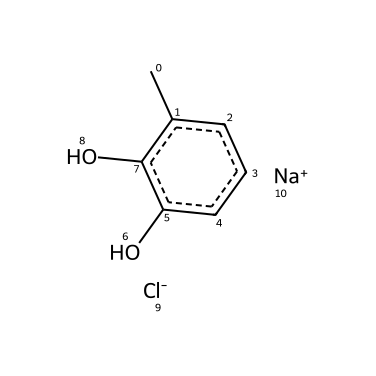 Cc1cccc(O)c1O.[Cl-].[Na+]